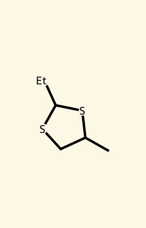 CCC1SCC(C)S1